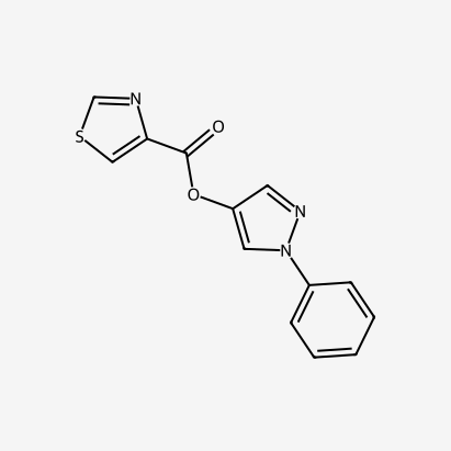 O=C(Oc1cnn(-c2ccccc2)c1)c1cscn1